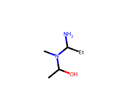 CCC(N)N(C)C(C)O